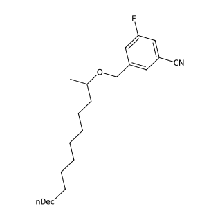 CCCCCCCCCCCCCCCCCC(C)OCc1cc(F)cc(C#N)c1